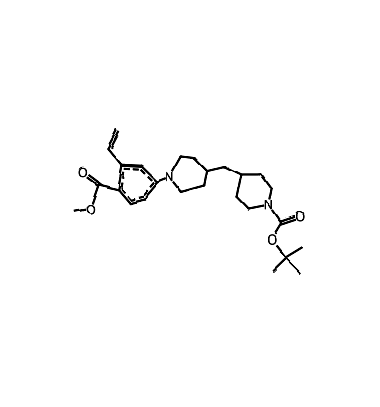 C=Cc1cc(N2CCC(CC3CCN(C(=O)OC(C)(C)C)CC3)CC2)ccc1C(=O)OC